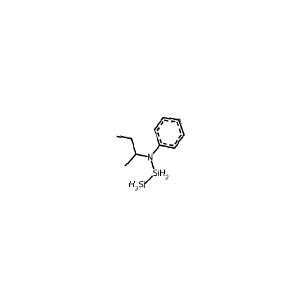 CCC(C)N([SiH2][SiH3])c1ccccc1